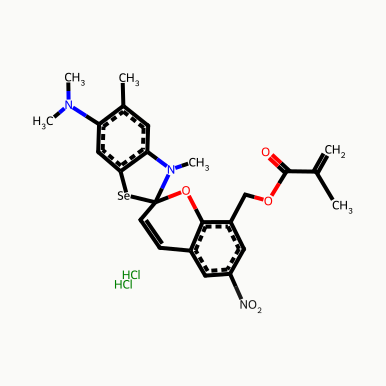 C=C(C)C(=O)OCc1cc([N+](=O)[O-])cc2c1OC1(C=C2)[Se]c2cc(N(C)C)c(C)cc2N1C.Cl.Cl